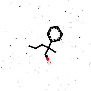 CCCC(C)(C=O)c1ccccc1